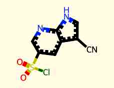 N#Cc1c[nH]c2ncc(S(=O)(=O)Cl)cc12